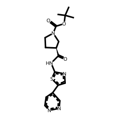 CC(C)(C)OC(=O)N1CC[C@H](C(=O)Nc2ncc(-c3ccnnc3)s2)C1